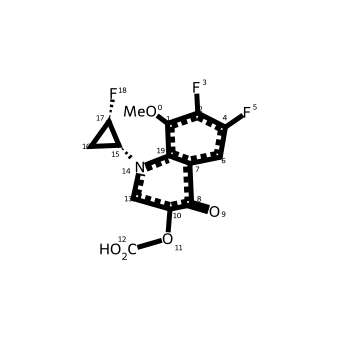 COc1c(F)c(F)cc2c(=O)c(OC(=O)O)cn([C@@H]3C[C@@H]3F)c12